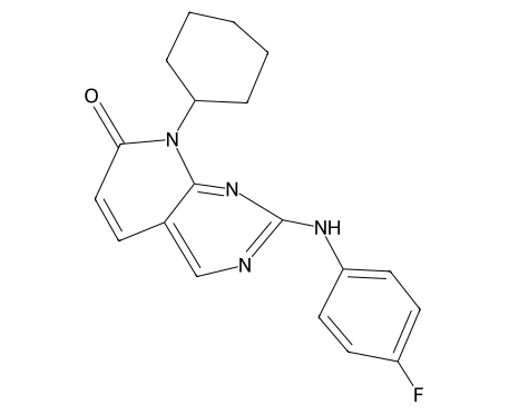 O=c1ccc2cnc(Nc3ccc(F)cc3)nc2n1C1CCCCC1